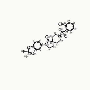 O=C1N(c2ccc3c(c2)OC(F)(F)O3)CCC12CCN(S(=O)(=O)c1ccccc1Cl)CC2